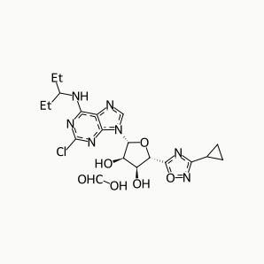 CCC(CC)Nc1nc(Cl)nc2c1ncn2[C@@H]1O[C@H](c2nc(C3CC3)no2)[C@@H](O)[C@H]1O.O=CO